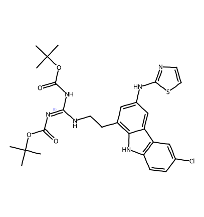 CC(C)(C)OC(=O)/N=C(\NCCc1cc(Nc2nccs2)cc2c1[nH]c1ccc(Cl)cc12)NC(=O)OC(C)(C)C